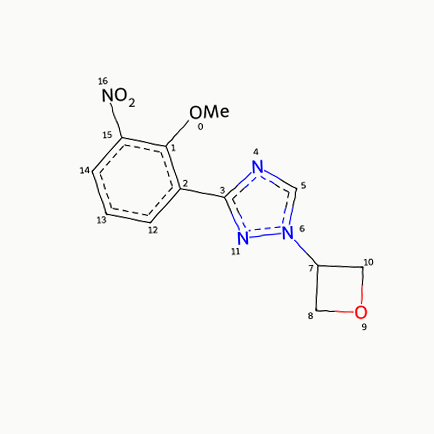 COc1c(-c2ncn(C3COC3)n2)cccc1[N+](=O)[O-]